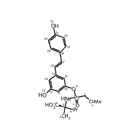 COCP(=O)(N[C@](C)(C(=O)O)C(C)C)Oc1cc(O)cc(/C=C/c2ccc(O)cc2)c1